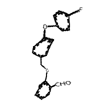 O=Cc1ccccc1OCc1ccc(Oc2ccc(F)cc2)cc1